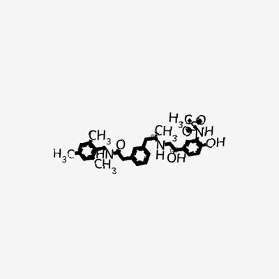 Cc1cc(C)c(CNC(=O)Cc2cccc(C[C@@H](C)NC[C@@H](O)c3ccc(O)c(NS(C)(=O)=O)c3)c2)c(C)c1